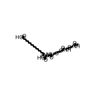 CCC(=O)NCCOCCNC(=O)COCCOCCNC(=O)CC[C@@H](NC(=O)CCCCCCCCCCCCCCCCC(=O)O)C(=O)O